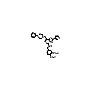 COc1ccc(CNc2ncc(CN3CCN(c4ccccc4)CC3)c3nc(-c4ccoc4)nn23)cc1OC